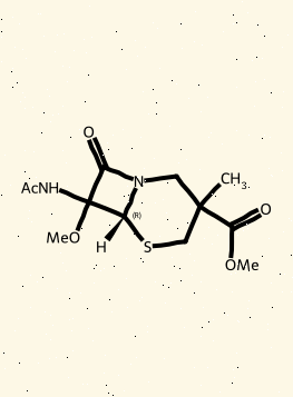 COC(=O)C1(C)CS[C@H]2N(C1)C(=O)C2(NC(C)=O)OC